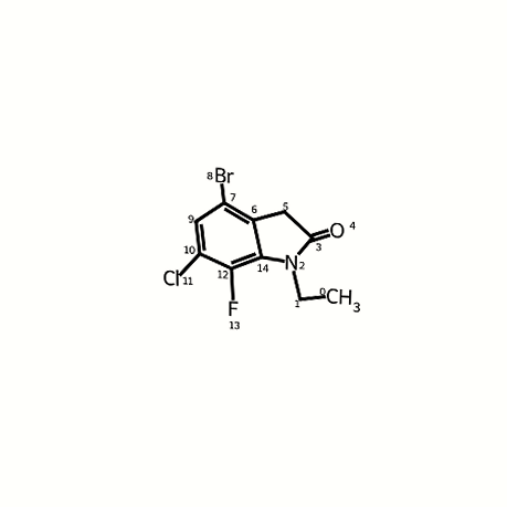 CCN1C(=O)Cc2c(Br)cc(Cl)c(F)c21